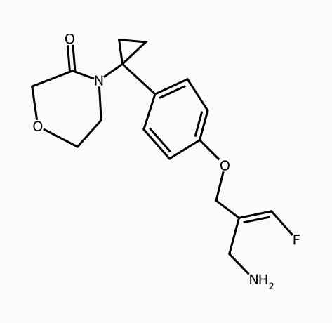 NCC(=CF)COc1ccc(C2(N3CCOCC3=O)CC2)cc1